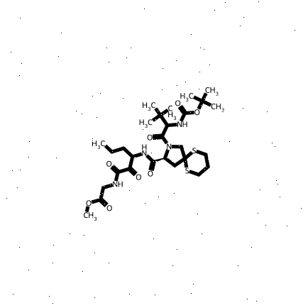 CCCC(NC(=O)[C@@H]1CC2(CN1C(=O)C(NC(=O)OC(C)(C)C)C(C)(C)C)SCCCS2)C(=O)C(=O)NCC(=O)OC